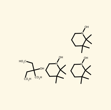 CC1(C)CCCN(O)C1(C)C.CC1(C)CCCN(O)C1(C)C.CC1(C)CCCN(O)C1(C)C.O=C(O)CC(O)(CC(=O)O)C(=O)O